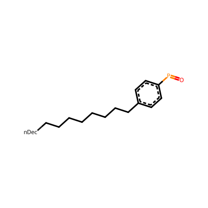 CCCCCCCCCCCCCCCCCCc1ccc(P=O)cc1